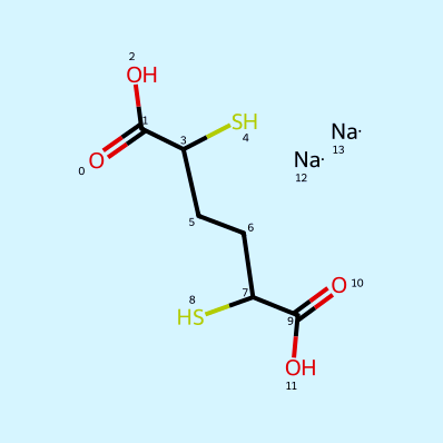 O=C(O)C(S)CCC(S)C(=O)O.[Na].[Na]